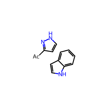 CC(=O)c1cc[nH]n1.c1ccc2[nH]ccc2c1